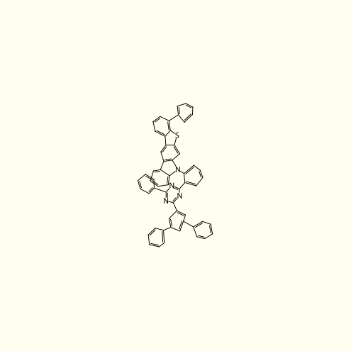 c1ccc(-c2cc(-c3ccccc3)cc(-c3nc(-c4ccccc4)nc(-c4ccccc4-n4c5ccccc5c5cc6c(cc54)sc4c(-c5ccccc5)cccc46)n3)c2)cc1